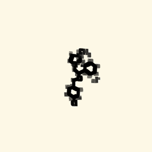 Cn1cc[n+](CC(OCc2ccc(Cl)cc2)c2ccccc2)c1.[I-]